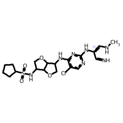 CN/C=C(\C=N)Nc1ncc(Cl)c(NC2COC3C(NS(=O)(=O)C4CCCC4)COC23)n1